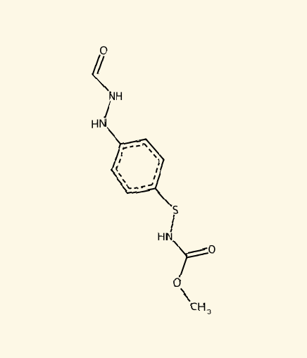 COC(=O)NSc1ccc(NNC=O)cc1